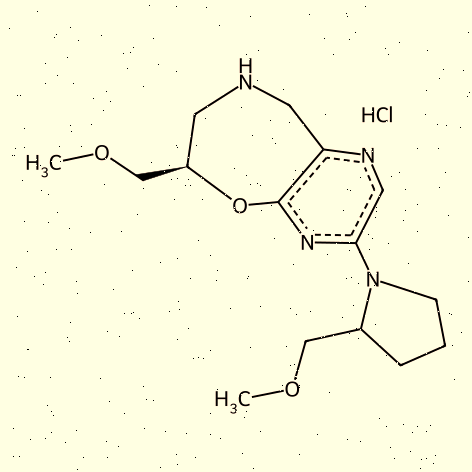 COCC1CCCN1c1cnc2c(n1)O[C@@H](COC)CNC2.Cl